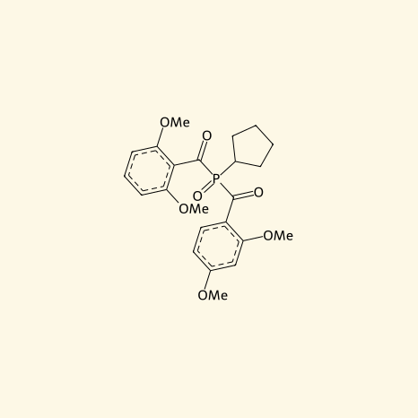 COc1ccc(C(=O)P(=O)(C(=O)c2c(OC)cccc2OC)C2CCCC2)c(OC)c1